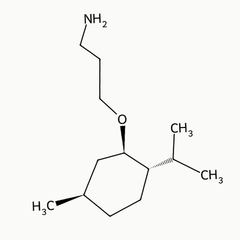 CC(C)[C@@H]1CC[C@@H](C)C[C@H]1OCCCN